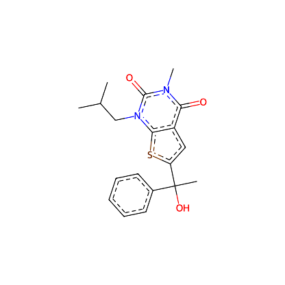 CC(C)Cn1c(=O)n(C)c(=O)c2cc(C(C)(O)c3ccccc3)sc21